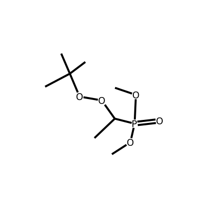 COP(=O)(OC)C(C)OOC(C)(C)C